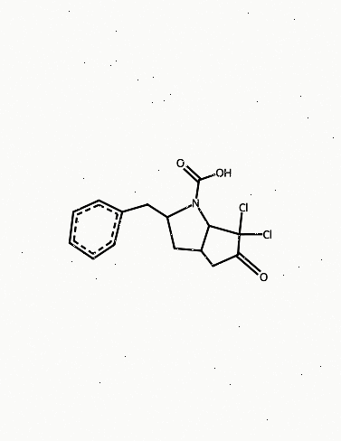 O=C(O)N1C(Cc2ccccc2)CC2CC(=O)C(Cl)(Cl)C21